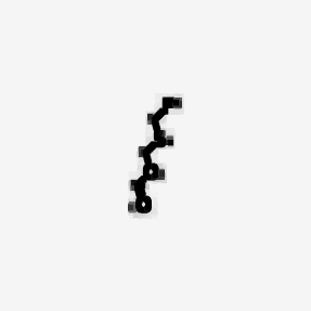 O=[C]OCSCF